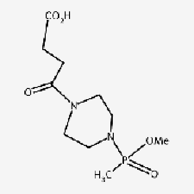 COP(C)(=O)N1CCN(C(=O)CCC(=O)O)CC1